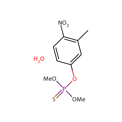 COP(=S)(OC)Oc1ccc([N+](=O)[O-])c(C)c1.O